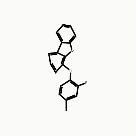 Cc1ccc(Oc2cccc3c2oc2ccccc23)c(F)c1